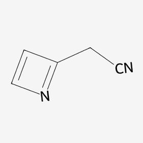 N#CCC1=NC=C1